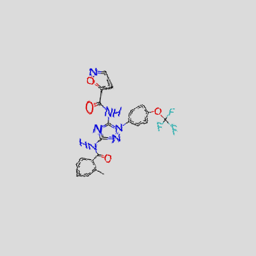 Cc1ccccc1C(=O)Nc1nc(NC(=O)c2ccno2)n(-c2ccc(OC(F)(F)F)cc2)n1